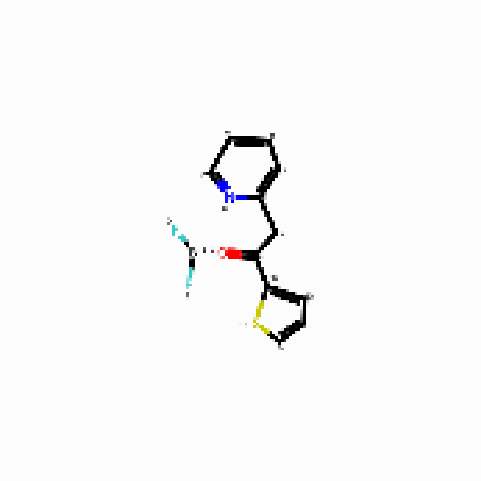 F[B]F.O=C(Cc1ccccn1)c1cccs1